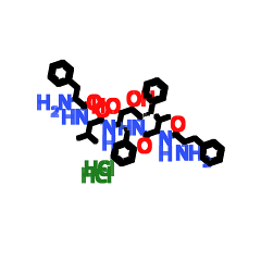 CC(C)[C@H](NC(=O)[C@@H](N)Cc1ccccc1)C(=O)N[C@@H](Cc1ccccc1)[C@H](O)[C@H](O)[C@H](Cc1ccccc1)NC(=O)[C@@H](NC(=O)[C@@H](N)Cc1ccccc1)C(C)C.Cl.Cl